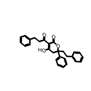 O=C(CCc1ccccc1)C1=C(O)CC(CCc2ccccc2)(c2ccccc2)OC1=O